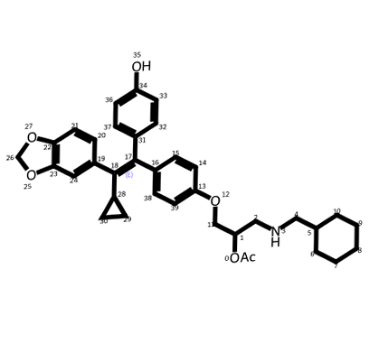 CC(=O)OC(CNCC1CCCCC1)COc1ccc(/C(=C(/c2ccc3c(c2)OCO3)C2CC2)c2ccc(O)cc2)cc1